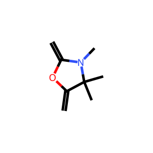 C=C1OC(=C)C(C)(C)N1C